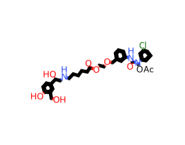 CC(=O)ON(C(=O)Nc1cccc(COCCOC(=O)CCCCCNC[C@@H](O)c2ccc(O)c(CO)c2)c1)c1cccc(Cl)c1